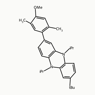 COc1cc(C)c(-c2ccc3c(c2)N(C(C)C)c2ccc(C(C)(C)C)cc2N3C(C)C)cc1C